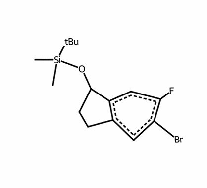 CC(C)(C)[Si](C)(C)OC1CCc2cc(Br)c(F)cc21